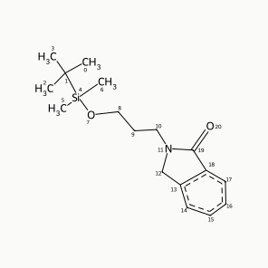 CC(C)(C)[Si](C)(C)OCCCN1Cc2ccccc2C1=O